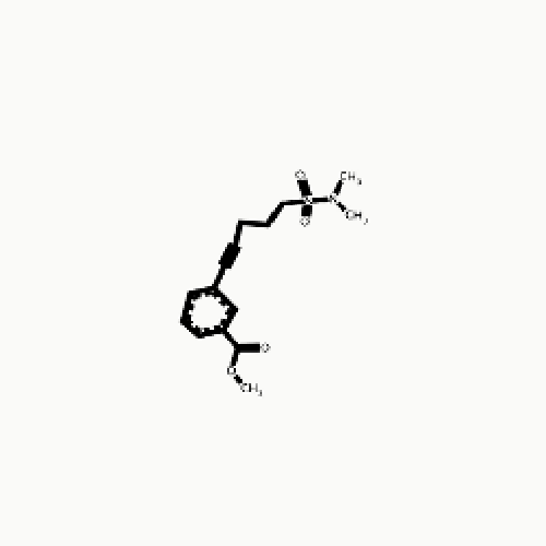 COC(=O)c1cccc(C#CCCCS(=O)(=O)N(C)C)c1